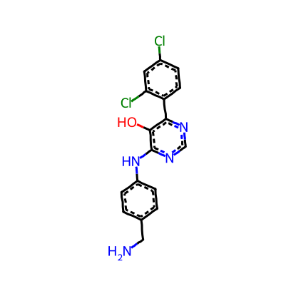 NCc1ccc(Nc2ncnc(-c3ccc(Cl)cc3Cl)c2O)cc1